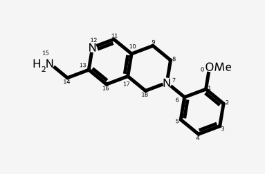 COc1ccccc1N1CCc2cnc(CN)cc2C1